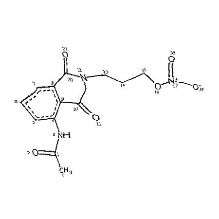 CC(=O)Nc1cccc2c1C(=O)N(CCCO[N+](=O)[O-])C2=O